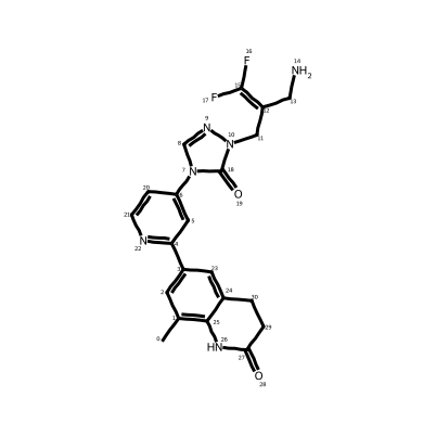 Cc1cc(-c2cc(-n3cnn(CC(CN)=C(F)F)c3=O)ccn2)cc2c1NC(=O)CC2